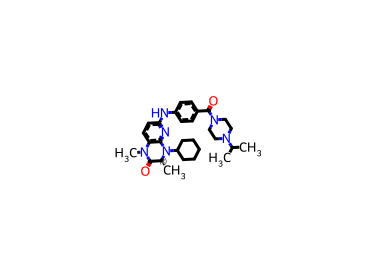 CC(C)N1CCN(C(=O)c2ccc(Nc3ccc4c(n3)N(C3CCCCC3)[C@H](C)C(=O)N4C)cc2)CC1